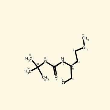 CSCC[C@@H](CCl)NC(=O)OC(C)(C)C